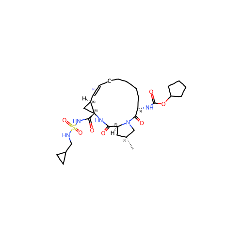 C[C@@H]1C[C@H]2C(=O)N[C@]3(C(=O)NS(=O)(=O)NCC4CC4)C[C@H]3/C=C\CCCCC[C@H](NC(=O)OC3CCCC3)C(=O)N2C1